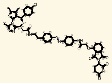 Cc1sc2c(c1C)C(c1ccc(Cl)cc1)=N[C@@H](CC(=O)NCCc1ccc(/N=N/c3ccc(NC(=O)COc4cccc5c4C(=O)N(C4CCC(=O)NC4=O)C5=O)cc3)cc1)c1nnc(C)n1-2